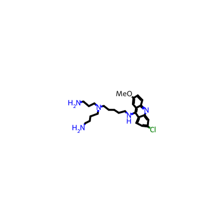 COc1ccc2nc3cc(Cl)ccc3c(NCCCCCN(CCCN)CCCCN)c2c1